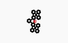 c1ccc2c(c1)-c1cc3c(cc1Oc1cc4c(cc1-2)-c1ccccc1C41c2ccccc2-c2ccccc21)C1(c2ccccc2-c2ccccc21)c1ccccc1-3